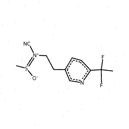 CS([O-])=[N+](C#N)CCc1ccc(C(C)(F)F)nc1